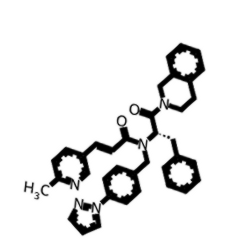 Cc1ccc(C=CC(=O)N(Cc2ccc(-n3cccn3)cc2)[C@@H](Cc2ccccc2)C(=O)N2CCc3ccccc3C2)cn1